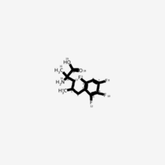 CC(Cc1c(F)cc(F)c(F)c1F)CC(C)(N)C(=O)O